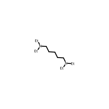 CCN(CC)CCCCCN(CC)CC